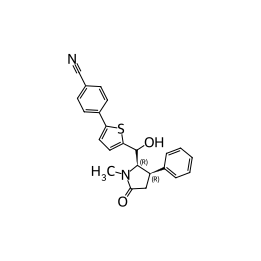 CN1C(=O)C[C@H](c2ccccc2)[C@@H]1C(O)c1ccc(-c2ccc(C#N)cc2)s1